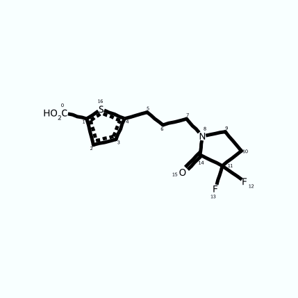 O=C(O)c1ccc(CCCN2CCC(F)(F)C2=O)s1